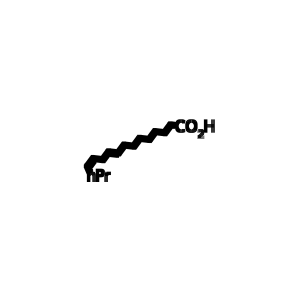 CCC/C=C\CC=CCCCCCCCC(=O)O